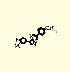 Cc1ccc(-c2cnc3c(-c4ccc(F)c(C#N)c4)cnn3c2)cc1